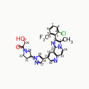 Cc1c(-c2c(Cl)cccc2C(F)(F)F)nc2c3cc(-c4cnn(C5CCN(C(=O)CO)C5)c4)cnc3ccn12